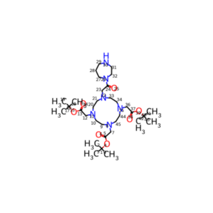 CC(C)(C)OC(=O)CN1CCN(CC(=O)OC(C)(C)C)CCN(CC(=O)N2CCCNCC2)CCN(CC(=O)OC(C)(C)C)CC1